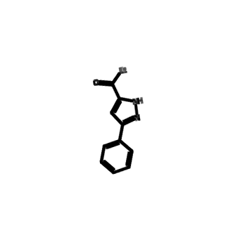 CCC(=O)c1cc(-c2ccccc2)n[nH]1